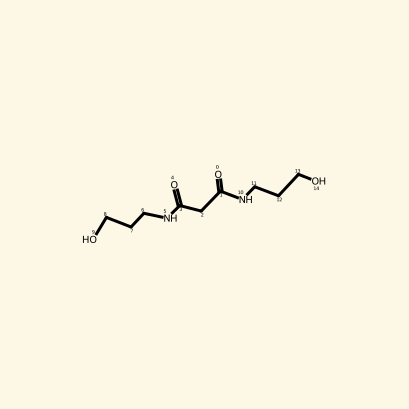 O=C(CC(=O)NCCCO)NCCCO